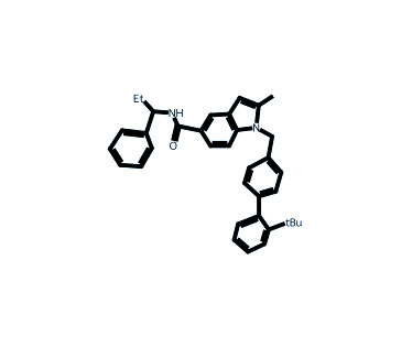 CCC(NC(=O)c1ccc2c(c1)cc(C)n2Cc1ccc(-c2ccccc2C(C)(C)C)cc1)c1ccccc1